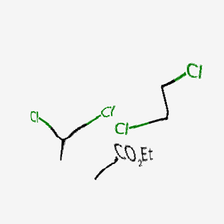 CC(Cl)Cl.CCOC(C)=O.ClCCCl